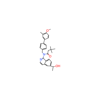 COc1ccc(-c2ccc(CN(C(=O)CC(C)(C)C)c3nccc4cc(C(C)O)ccc34)cc2)cc1C